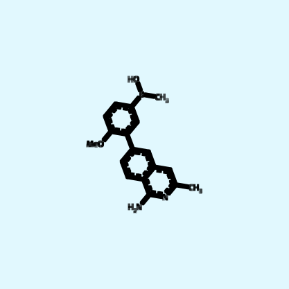 COc1ccc(B(C)O)cc1-c1ccc2c(N)nc(C)cc2c1